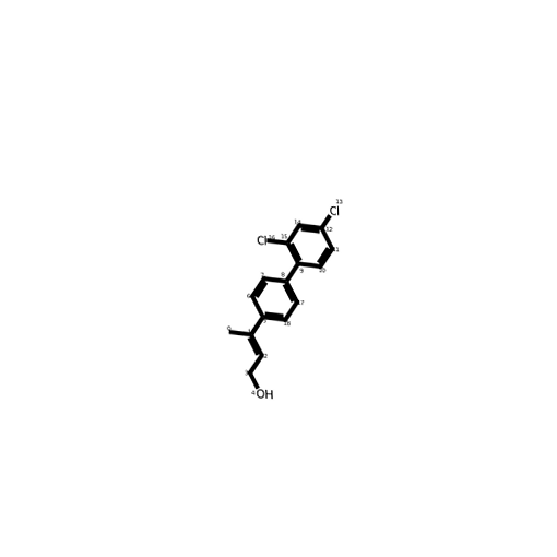 CC(=CCO)c1ccc(-c2ccc(Cl)cc2Cl)cc1